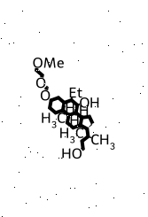 CC[C@@H]1C2C[C@H](OCOCCOC)CC[C@@]2(C)[C@H]2CCC3(C)[C@@H]([C@H](C)CCO)CC[C@H]3[C@@H]2[C@@H]1O